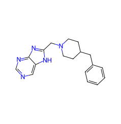 c1ccc(CC2CCN(Cc3nc4ncncc4[nH]3)CC2)cc1